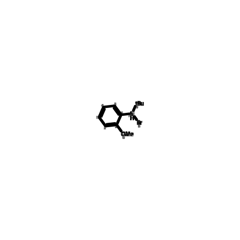 COc1ccccc1[SiH](Br)C(C)(C)C